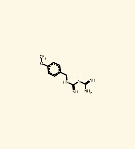 N=C(N)NC(=N)NCc1ccc(OC(F)(F)F)cc1